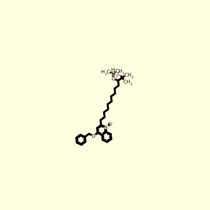 C[SiH](C)OC(CCCCCCCCCCc1cc(OCc2ccccc2)c2ccccc2[n+]1[O-])C(C)(C)C